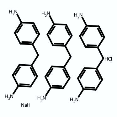 Cl.Nc1ccc(Cc2ccc(N)cc2)cc1.Nc1ccc(Cc2ccc(N)cc2)cc1.Nc1ccc(Cc2ccc(N)cc2)cc1.[NaH]